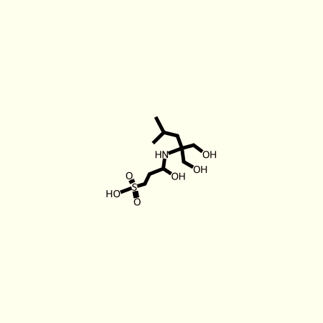 CC(C)CC(CO)(CO)NC(O)CCS(=O)(=O)O